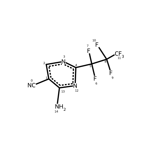 N#Cc1cnc(C(F)(F)C(F)(F)C(F)(F)F)nc1N